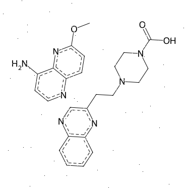 COc1ccc2nccc(N)c2n1.O=C(O)N1CCN(CCc2cnc3ccccc3n2)CC1